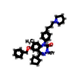 Cc1cc2c(cc1OCc1ccccc1)C(C1CCCCC1)=NN(C(C)C)C(=O)N2c1ccc(CCCN2CCCCC2)cc1